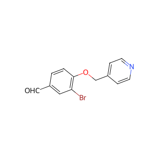 O=Cc1ccc(OCc2ccncc2)c(Br)c1